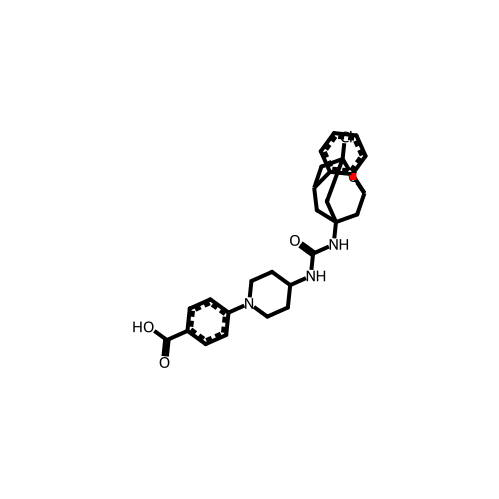 O=C(NC1CCN(c2ccc(C(=O)O)cc2)CC1)NC12CC3CC(Cl)(CC(C1)c1ccccc13)C2